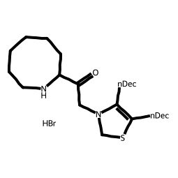 Br.CCCCCCCCCCC1=C(CCCCCCCCCC)N(CC(=O)C2CCCCCCN2)CS1